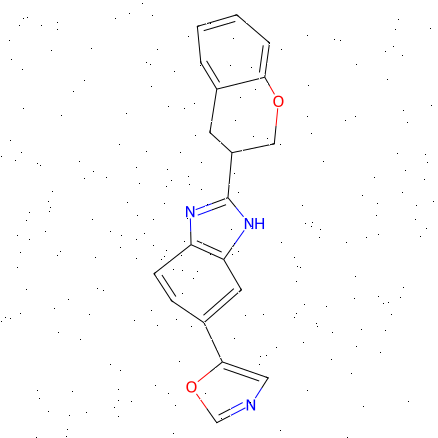 c1ccc2c(c1)CC(c1nc3ccc(-c4cnco4)cc3[nH]1)CO2